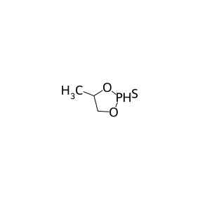 CC1CO[PH](=S)O1